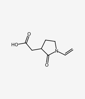 C=CN1CCC(CC(=O)O)C1=O